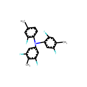 Cc1ccc(N(c2cc(F)c(C)c(F)c2)c2cc(F)c(C)cc2F)c(F)c1